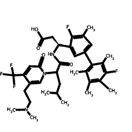 Cc1cc(-c2c(C)c(C)c(C)c(F)c2C)cc([C@H](CC(=O)O)NC(=O)C(CC(C)C)n2cc(CCN(C)C)c(C(F)(F)F)cc2=O)c1F